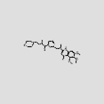 COc1cc2[nH]c(N(C)Cc3cccc(C(=O)NCCN4CCOCC4)c3)nc(=O)c2c(OC)c1OC